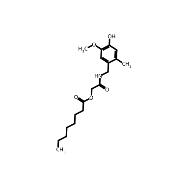 CCCCCCCC(=O)OCC(=O)NCc1cc(OC)c(O)cc1C